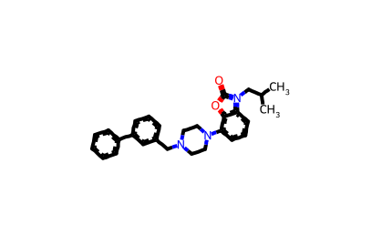 CC(C)Cn1c(=O)oc2c(N3CCN(Cc4cccc(-c5ccccc5)c4)CC3)cccc21